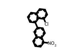 O=[N+]([O-])c1cccc2[c]c(-c3cccc4cccc(Cl)c34)ccc12